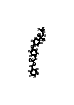 O=C(Cc1ccc(Oc2ccc(S(=O)(=O)CC3CS3)cc2)cc1)OCc1cccnc1